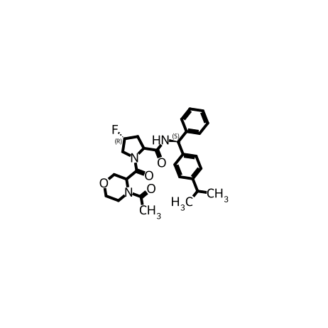 CC(=O)N1CCOCC1C(=O)N1C[C@H](F)CC1C(=O)N[C@@H](c1ccccc1)c1ccc(C(C)C)cc1